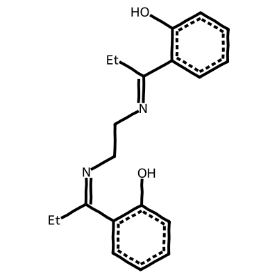 CCC(=NCCN=C(CC)c1ccccc1O)c1ccccc1O